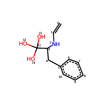 C=CNC(Cc1ccccc1)C(O)(O)O